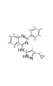 O=Cc1cc(Nc2nc(-c3ccccc3)nc3ccccc23)[nH]n1